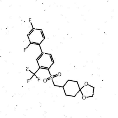 O=S(=O)(CC1CCC2(CC1)OCCO2)c1ccc(-c2ccc(F)cc2F)cc1C(F)(F)F